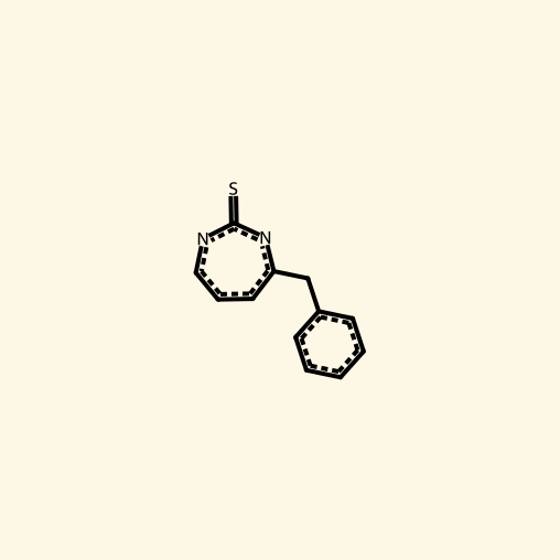 S=c1ncccc(Cc2ccccc2)n1